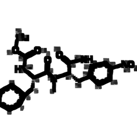 CN(C(=O)[C@H](Cc1ccccc1)NC(=O)OC(C)(C)C)[C@@H](Cc1ccc([N+](=O)[O-])cc1)C(N)=O